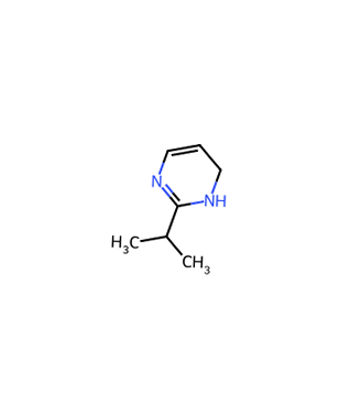 CC(C)C1=NC=CCN1